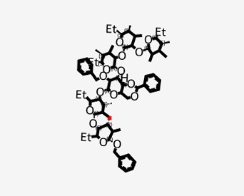 CCC1O[C@@H](OCc2ccccc2)C(C)[C@@H](C)[C@@H]1O[C@@H]1OC(CC)[C@@H](O[C@@H]2OC3COC(c4ccccc4)O[C@H]3[C@H](O[C@H]3O[C@@H](CC)[C@@H](C)C(C)C3O[C@H]3O[C@@H](CC)[C@@H](C)C(C)C3O[C@H]3O[C@@H](CC)[C@@H](C)C(C)C3C)C2OCc2ccccc2)[C@H](C)C1C